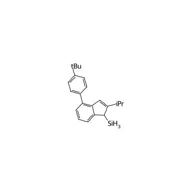 CC(C)C1=Cc2c(-c3ccc(C(C)(C)C)cc3)cccc2C1[SiH3]